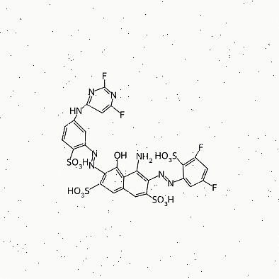 Nc1c(/N=N/c2cc(F)cc(F)c2S(=O)(=O)O)c(S(=O)(=O)O)cc2cc(S(=O)(=O)O)c(/N=N/c3cc(Nc4cc(F)nc(F)n4)ccc3S(=O)(=O)O)c(O)c12